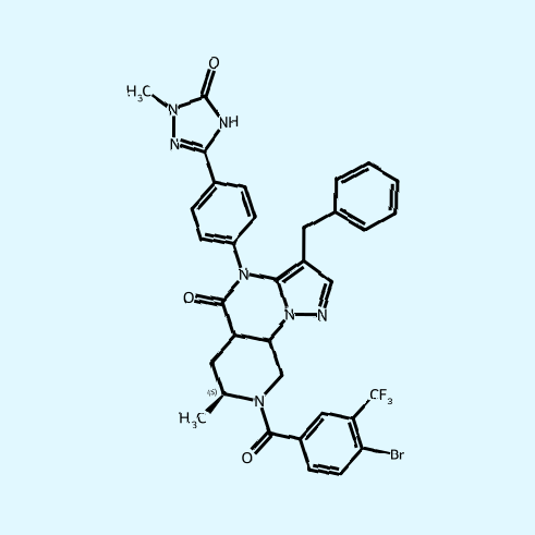 C[C@H]1CC2C(=O)N(c3ccc(-c4nn(C)c(=O)[nH]4)cc3)c3c(Cc4ccccc4)cnn3C2CN1C(=O)c1ccc(Br)c(C(F)(F)F)c1